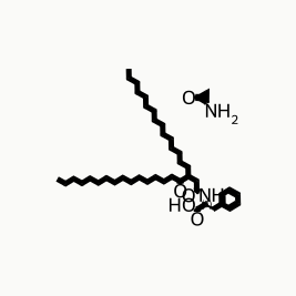 CCCCCCCCCCCCCCCC(=O)C(CCCCCCCCCCCCCCC)CC(=O)N[C@@H](Cc1ccccc1)C(=O)O.NC1CC1=O